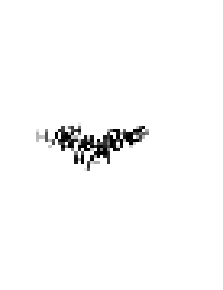 Cc1c(I)c(N2CCC(N3CC4COCC(C3)O4)CC2(C)C)nn1C1CC2(C1)CN(C(=O)OC(C)(C)C)C2